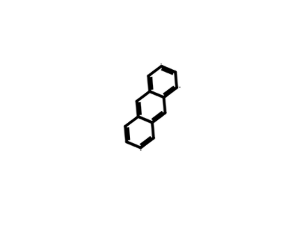 [c]1c[c]c2cc3c[c]ccc3cc2c1